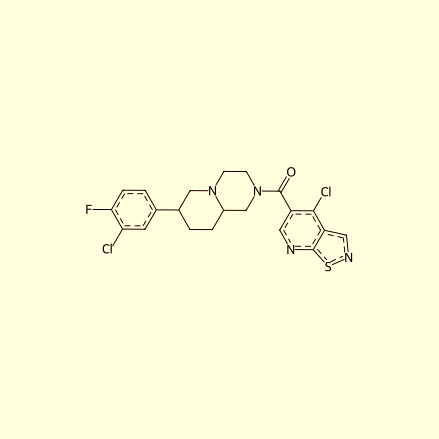 O=C(c1cnc2sncc2c1Cl)N1CCN2CC(c3ccc(F)c(Cl)c3)CCC2C1